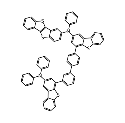 c1ccc(N(c2ccccc2)c2cc(-c3cccc(-c4ccc(-c5cc(N(c6ccccc6)c6ccc7sc8c9ccccc9sc8c7c6)cc6c5sc5ccccc56)cc4)c3)c3sc4ccccc4c3c2)cc1